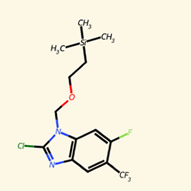 C[Si](C)(C)CCOCn1c(Cl)nc2cc(C(F)(F)F)c(F)cc21